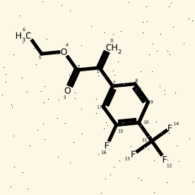 C=C(C(=O)OCC)c1ccc(C(F)(F)F)c(F)c1